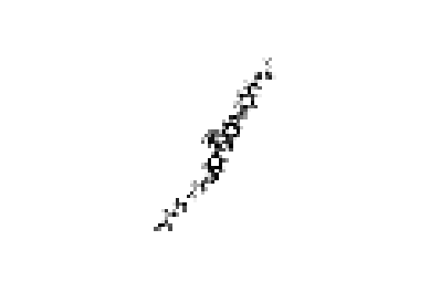 C=CCCCCCCCCCOc1ccc(C(=O)Oc2ccc(CCC3CCC(CCCCC)CC3)cc2C#N)cc1